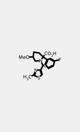 COC1CCC(C(=O)O)(c2cccc(F)c2)N(C(=O)c2csc(C)n2)C1